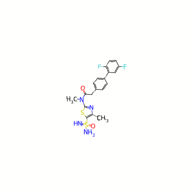 Cc1nc(N(C)C(=O)Cc2ccc(-c3cc(F)ccc3F)cc2)sc1S(=N)(N)=O